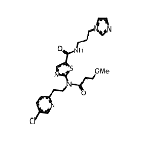 COCCC(=O)N(CCc1ccc(Cl)cn1)c1ncc(C(=O)NCCCn2ccnc2)s1